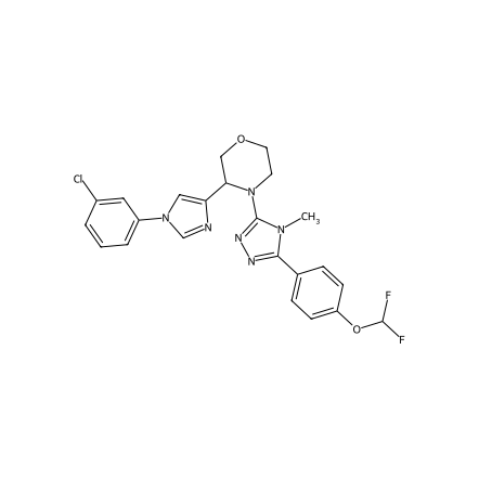 Cn1c(-c2ccc(OC(F)F)cc2)nnc1N1CCOCC1c1cn(-c2cccc(Cl)c2)cn1